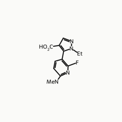 CCn1ncc(C(=O)O)c1-c1ccc(NC)nc1F